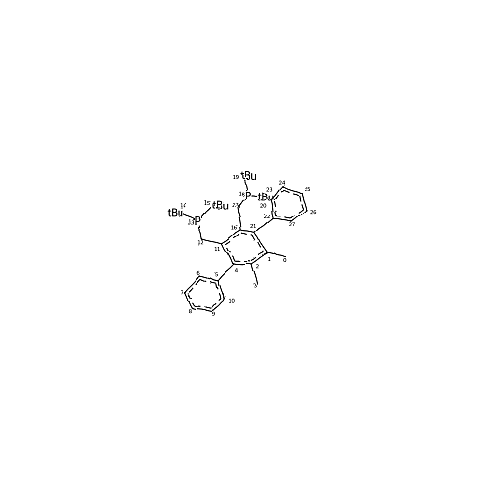 Cc1c(C)c(-c2ccccc2)c(CP(C(C)(C)C)C(C)(C)C)c(CP(C(C)(C)C)C(C)(C)C)c1-c1ccccc1